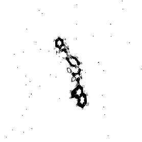 O=C1OC(c2ccc3ccccc3c2)=N/C1=C/N1CCN(c2nc3ccccc3[nH]2)CC1